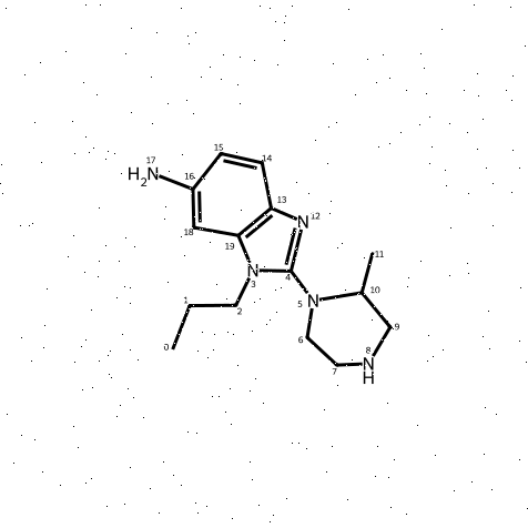 CCCn1c(N2CCNCC2C)nc2ccc(N)cc21